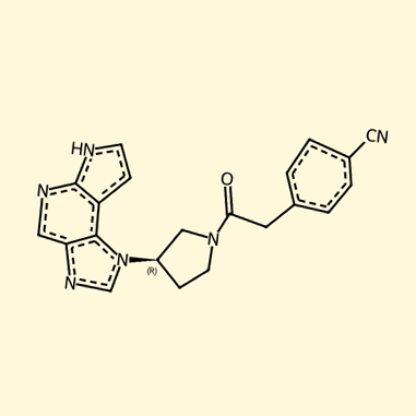 N#Cc1ccc(CC(=O)N2CC[C@@H](n3cnc4cnc5[nH]ccc5c43)C2)cc1